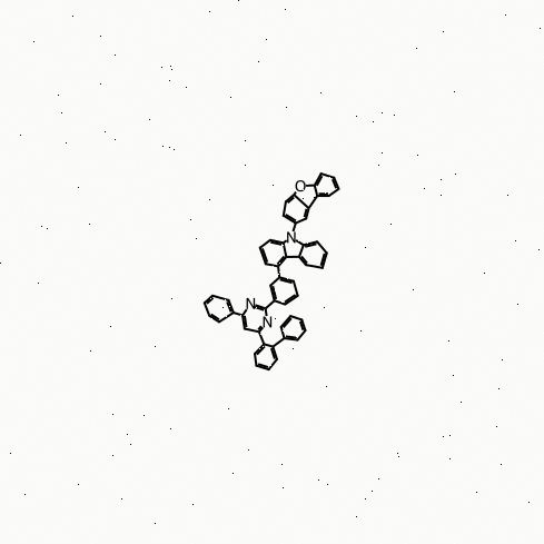 c1ccc(-c2cc(-c3ccccc3-c3ccccc3)nc(-c3cccc(-c4cccc5c4c4ccccc4n5-c4ccc5oc6ccccc6c5c4)c3)n2)cc1